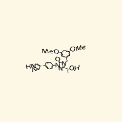 COc1cc(Cn2c(C(C)O)nn(-c3ccc(-c4cn[nH]c4)cc3)c2=O)cc(OC)c1